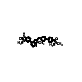 CN(C)C(=O)c1ccc(C2CCN(Cc3cc4c(-c5ccc6[nH]c(=O)n(C)c6c5)ccnc4n3C)CC2)cc1